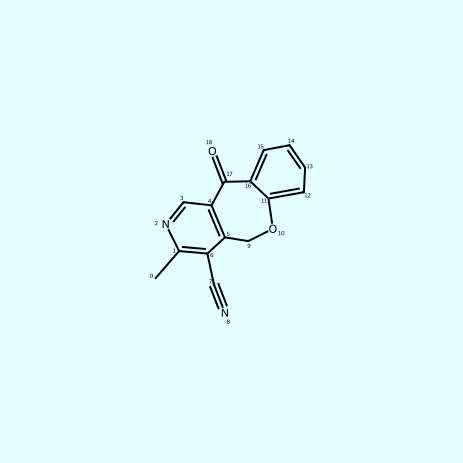 Cc1ncc2c(c1C#N)COc1ccccc1C2=O